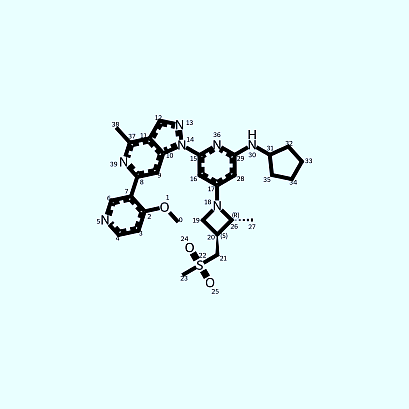 COc1ccncc1-c1cc2c(cnn2-c2cc(N3C[C@H](CS(C)(=O)=O)[C@H]3C)cc(NC3CCCC3)n2)c(C)n1